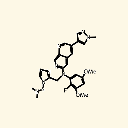 COc1cc(OC)c(F)c(N(Cc2nccn2SN(C)C)c2cc3cc(-c4cnn(C)c4)cnc3cn2)c1